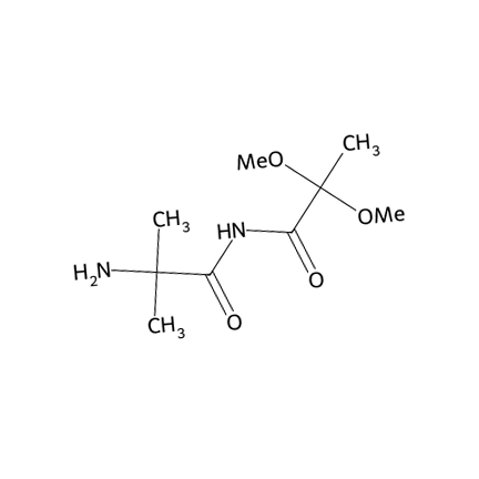 COC(C)(OC)C(=O)NC(=O)C(C)(C)N